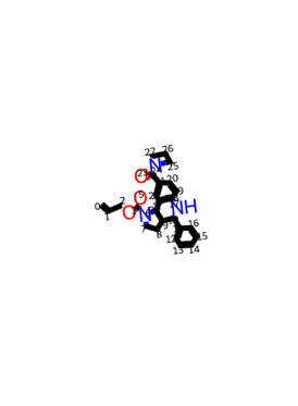 C=CCOC(=O)N1CCC2C(c3ccccc3)Nc3ccc(C(=O)N4CCC4)cc3C21